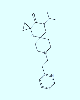 CC(C)N1CC2(CCN(CCc3ccccn3)CC2)OC2(CC2)C1=O